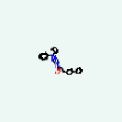 O=C(CCc1ccc(-c2ccccc2)cc1)N1CCN(C(c2ccccc2)c2ccccc2)CC1